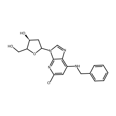 OCC1OC(n2cnc3c(NCc4ccccc4)cc(Cl)nc32)C[C@@H]1O